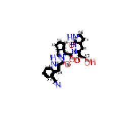 N#Cc1cccc2[nH]c(C(=O)N3CC4CCCC4C3C(=O)NC(CC3CCNC3=O)C(=O)CO)cc12